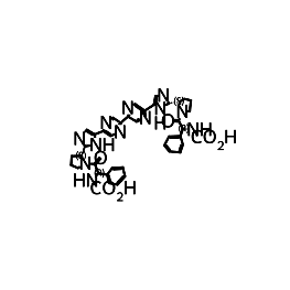 O=C(O)N[C@@H](C(=O)N1CCC[C@H]1c1ncc(-c2cnc(-c3cnc(-c4cnc([C@@H]5CCCN5C(=O)[C@H](NC(=O)O)c5ccccc5)[nH]4)cn3)cn2)[nH]1)c1ccccc1